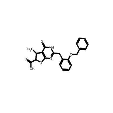 CC1c2c(nc(Cc3ccccc3OCc3ccccc3)[nH]c2=O)SC1C(=O)O